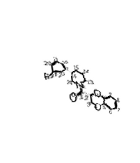 O=C([C@H]1COc2ccccc2O1)N1CCC[C@@H](c2cccc(F)c2)C1